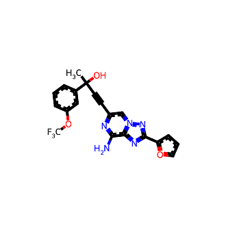 CC(O)(C#Cc1cn2nc(-c3ccco3)nc2c(N)n1)c1cccc(OC(F)(F)F)c1